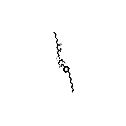 CCCCCCCCc1ccc(-c2ncc(OCCC(F)CC(F)CCCCC)cn2)cc1